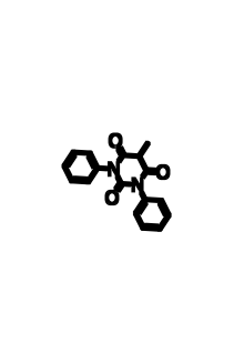 CC1C(=O)N(c2ccccc2)C(=O)N(c2ccccc2)C1=O